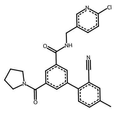 Cc1ccc(-c2cc(C(=O)NCc3ccc(Cl)nc3)cc(C(=O)N3CCCC3)c2)c(C#N)c1